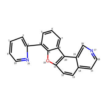 c1ccc(-c2cccc3c2oc2ccc4ccncc4c23)nc1